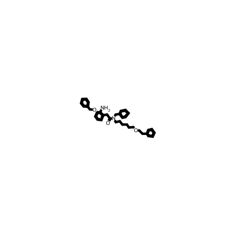 Nc1c(CC(=O)N(CCCCCCOCCc2ccccc2)Cc2ccccc2)cccc1OCc1ccccc1